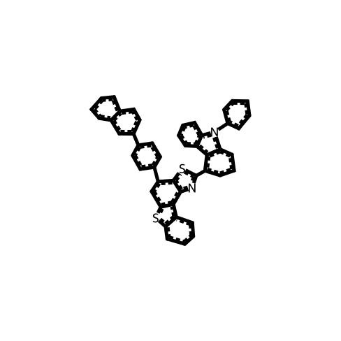 c1ccc(-n2c3ccccc3c3c(-c4nc5c(s4)c(-c4ccc(-c6ccc7ccccc7c6)cc4)cc4sc6ccccc6c45)cccc32)cc1